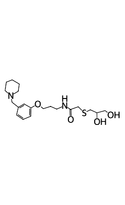 O=C(CSCC(O)CO)NCCCOc1cccc(CN2CCCCC2)c1